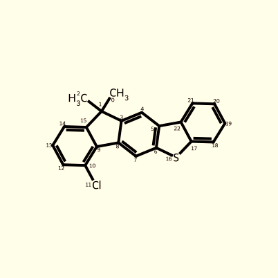 CC1(C)c2cc3c(cc2-c2c(Cl)cccc21)sc1ccccc13